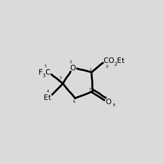 CCOC(=O)C1OC(CC)(C(F)(F)F)CC1=O